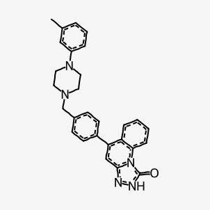 Cc1cccc(N2CCN(Cc3ccc(-c4cc5n[nH]c(=O)n5c5ccccc45)cc3)CC2)c1